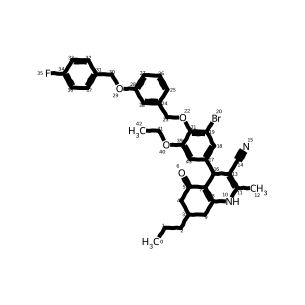 CCCC1CC(=O)C2=C(C1)NC(C)=C(C#N)C2c1cc(Br)c(OCc2cccc(OCc3ccc(F)cc3)c2)c(OCC)c1